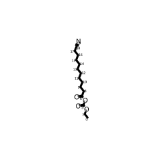 CCOC(=O)OC(=O)CCCCCCCCCCC#N